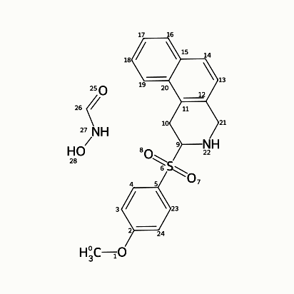 COc1ccc(S(=O)(=O)C2Cc3c(ccc4ccccc34)CN2)cc1.O=CNO